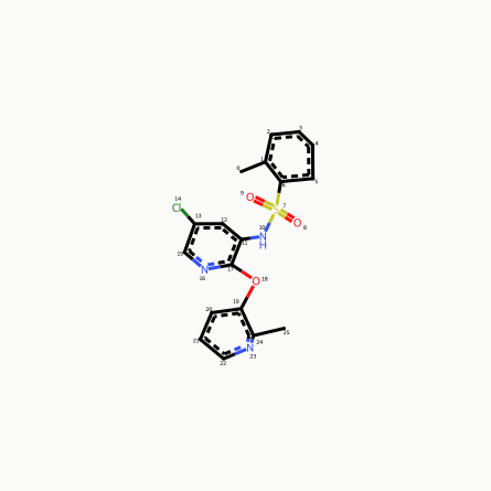 Cc1ccccc1S(=O)(=O)Nc1cc(Cl)cnc1Oc1cccnc1C